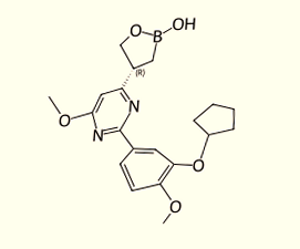 COc1cc([C@@H]2COB(O)C2)nc(-c2ccc(OC)c(OC3CCCC3)c2)n1